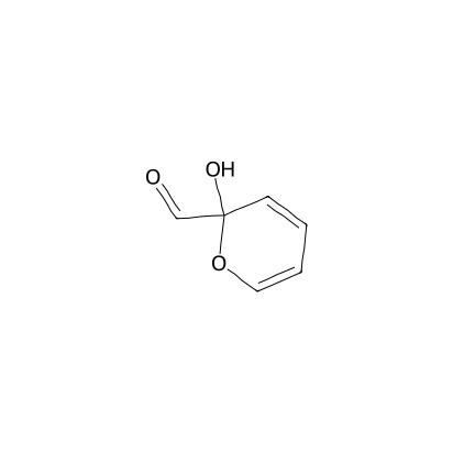 O=CC1(O)C=CC=CO1